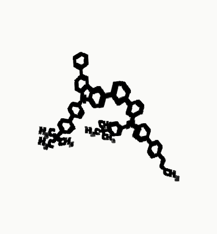 CCCc1ccc(-c2ccc(N(c3ccc(C(C)(C)C)cc3)c3cccc(-c4cccc(-c5ccc6c(c5)c5cc(-c7ccccc7)ccc5n6-c5ccc(-c6ccc(C(C)(C)C)cc6)cc5)c4)c3)cc2)cc1